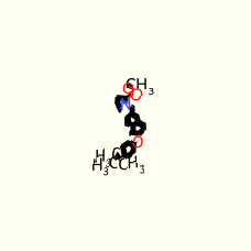 COC(=O)[C@@H]1CCCN1Cc1ccc2cc(O[C@H]3CC[C@H](C(C)(C)C)CC3)ccc2c1